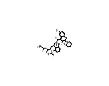 CCCC(F)OC(=O)CCC(CNC(=O)c1c(C)c(N2CCCCC2)nc2ccc(Br)cc12)c1c(F)cccc1OC(F)F